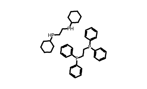 C1CCC(PCCPC2CCCCC2)CC1.c1ccc(P(CCP(c2ccccc2)c2ccccc2)c2ccccc2)cc1